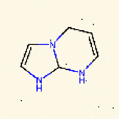 C1=CNC2NC=CN2C1